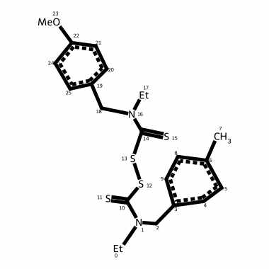 CCN(Cc1ccc(C)cc1)C(=S)SSC(=S)N(CC)Cc1ccc(OC)cc1